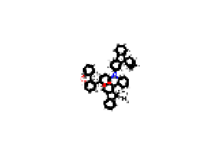 CC1(C)c2ccccc2-c2cccc(-c3ccccc3N(c3ccc(-c4cccc5oc6ccccc6c45)cc3)c3ccc4c(c3)C3(CC5CCC3C5)c3ccccc3-4)c21